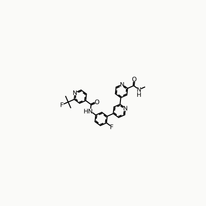 CNC(=O)c1cc(-c2cc(-c3cc(NC(=O)c4ccnc(C(C)(C)F)c4)ccc3F)ccn2)ccn1